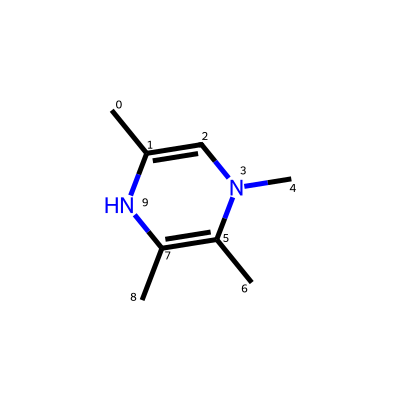 CC1=CN(C)C(C)=C(C)N1